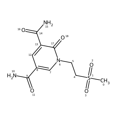 CS(=O)(=O)CCn1cc(C(N)=O)cc(C(N)=O)c1=O